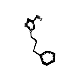 Nc1cnn(CCCc2ccccc2)c1